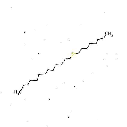 CCCCCCCCCCCCCSCCCCCCCC